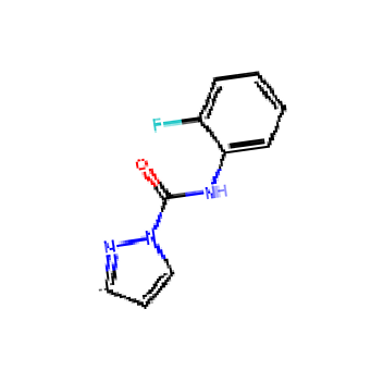 O=C(Nc1ccccc1F)n1cc[c]n1